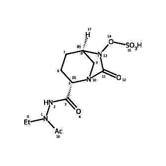 CCN(NC(=O)[C@@H]1CC[C@@H]2CN1C(=O)N2OS(=O)(=O)O)C(C)=O